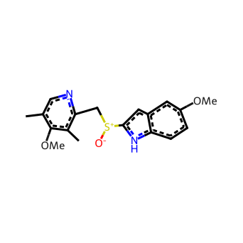 COc1ccc2[nH]c([S+]([O-])Cc3ncc(C)c(OC)c3C)cc2c1